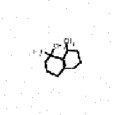 CC1CCCC2=C1C(C)(C)CCC2